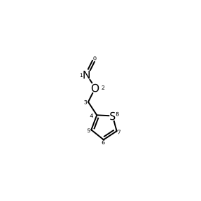 C=NOCc1cccs1